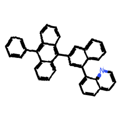 c1ccc(-c2c3ccccc3c(-c3cc(-c4cccc5cccnc45)c4ccccc4c3)c3ccccc23)cc1